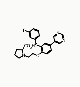 O=C(O)[C@@H]1CCCN1CCOc1ccc(-c2cncnc2)cc1Sc1cccc(F)c1